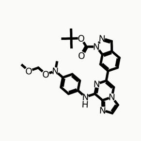 COCON(C)c1ccc(Nc2nc(-c3ccc4cnn(C(=O)OC(C)(C)C)c4c3)cn3ccnc23)cc1